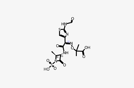 C[C@H]1[C@H](NC(=O)/C(=N\OC(C)(C)C(=O)O)c2csc(NC=O)n2)C(=O)N1S(=O)(=O)O